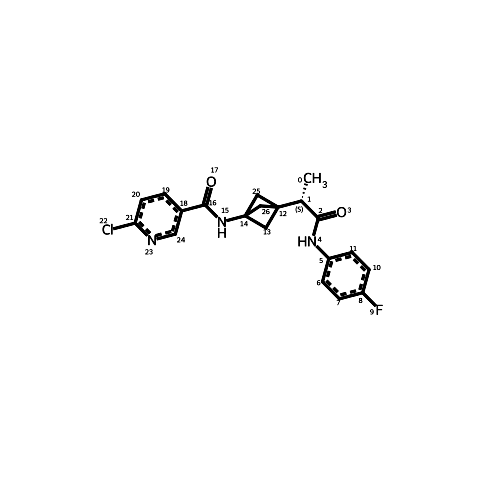 C[C@H](C(=O)Nc1ccc(F)cc1)C12CC(NC(=O)c3ccc(Cl)nc3)(C1)C2